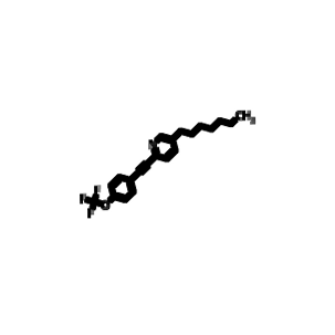 CCCCCCCc1ccc(C#Cc2ccc(OC(F)(F)F)cc2)nc1